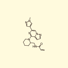 C=CC(=O)NCC1CCCCN1c1nc(-c2cnn(C)c2)cn2nccc12